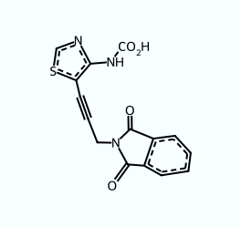 O=C(O)Nc1ncsc1C#CCN1C(=O)c2ccccc2C1=O